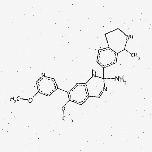 COc1cncc(-c2cc3c(cc2OC)C=NC(N)(c2ccc4c(c2)C(C)NCC4)N3)c1